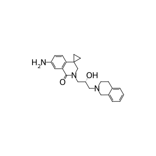 Nc1ccc2c(c1)C(=O)N(C[C@H](O)CN1CCc3ccccc3C1)CC21CC1